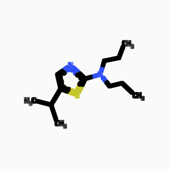 CCCN(CCC)c1ncc(C(C)C)s1